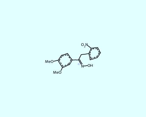 COc1ccc(/C(Cc2ccccc2[N+](=O)[O-])=N/O)cc1OC